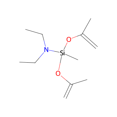 C=C(C)O[Si](C)(OC(=C)C)N(CC)CC